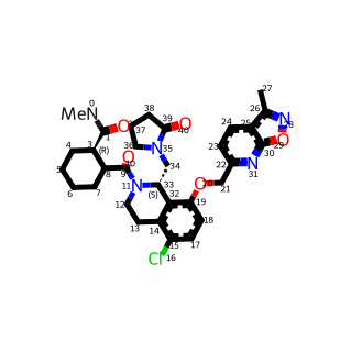 CNC(=O)[C@@H]1CCCCC1C(=O)N1CCc2c(Cl)ccc(OCc3ccc4c(C)noc4n3)c2[C@H]1CN1CCCC1=O